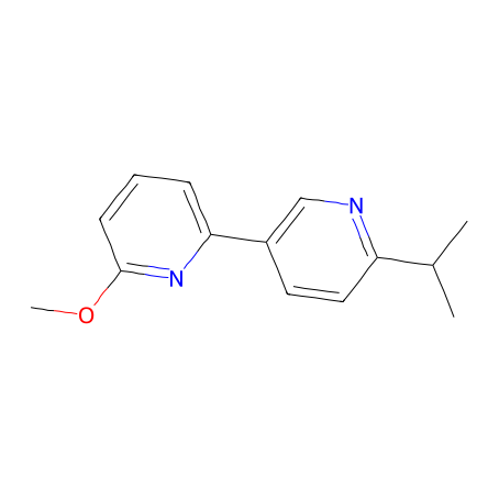 COc1cccc(-c2ccc(C(C)C)nc2)n1